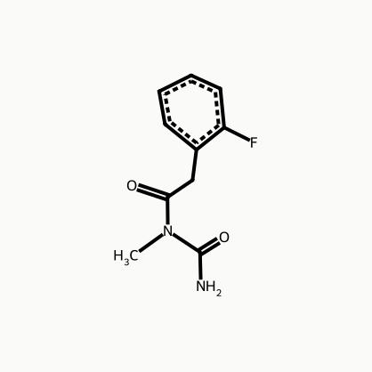 CN(C(N)=O)C(=O)Cc1ccccc1F